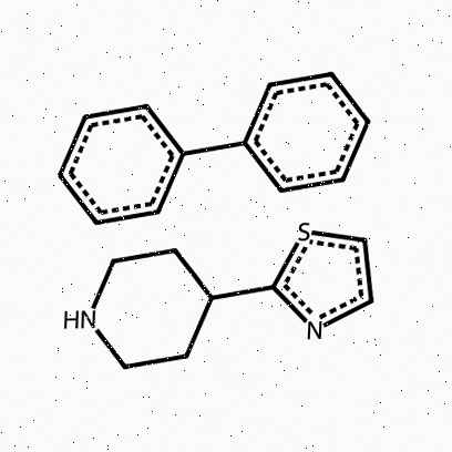 c1ccc(-c2ccccc2)cc1.c1csc(C2CCNCC2)n1